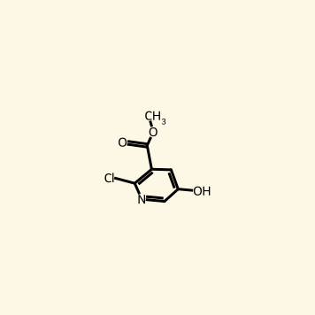 COC(=O)c1cc(O)cnc1Cl